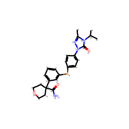 Cc1nn(-c2ccc(Sc3cccc(C4(C(N)=O)CCOCC4)c3)cc2)c(=O)n1C(C)C